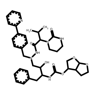 CC(C)C(C(=O)NN(Cc1ccc(-c2ccccn2)cc1)CC(O)C(Cc1ccccc1)NC(=O)OC1COC2OCCC12)N1CCCNC1=O